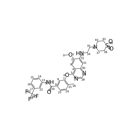 COc1cc2c(Oc3cc(C(=O)Nc4cccc(C(F)(F)F)c4)ccc3C)ncnc2cc1NCCN1CCS(=O)(=O)CC1